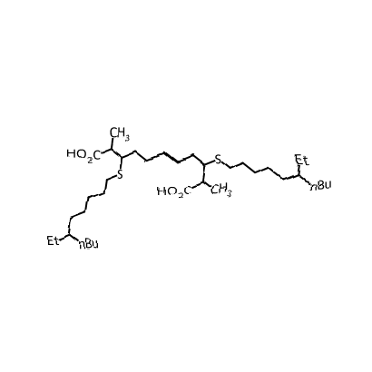 CCCCC(CC)CCCCCSC(CCCCCC(SCCCCCC(CC)CCCC)C(C)C(=O)O)C(C)C(=O)O